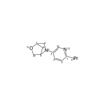 CC(C)c1ccc(N2CC3CC2CO3)cn1